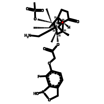 C[C@@H]1CC[C@@]23CCC(=O)[C@H]2[C@]1(C)[C@H](OC(=O)COc1ccc2c(c1F)B(O)OC2)C[C@@](C)(CN)[C@@H](OS(C)(=O)=O)[C@@H]3C